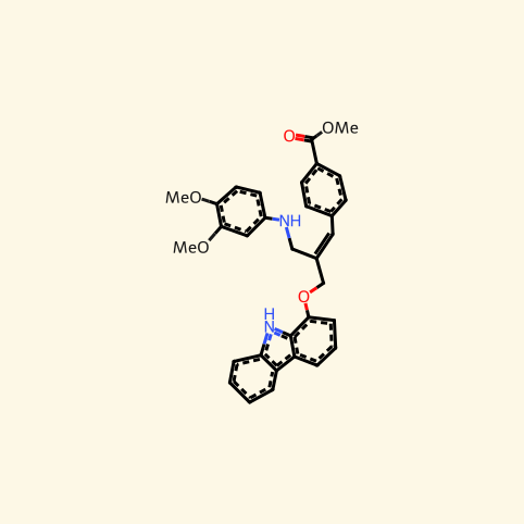 COC(=O)c1ccc(/C=C(\CNc2ccc(OC)c(OC)c2)COc2cccc3c2[nH]c2ccccc23)cc1